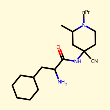 CCCN1CCC(C#N)(NC(=O)C(N)CC2CCCCC2)CC1C